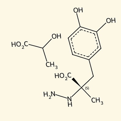 CC(O)C(=O)O.C[C@@](Cc1ccc(O)c(O)c1)(NN)C(=O)O